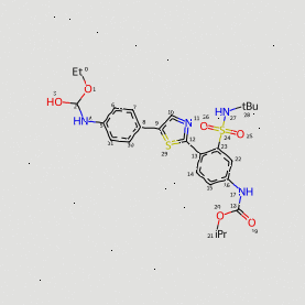 CCOC(O)Nc1ccc(-c2cnc(-c3ccc(NC(=O)OC(C)C)cc3S(=O)(=O)NC(C)(C)C)s2)cc1